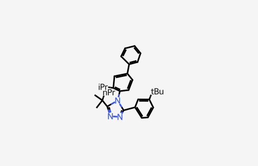 CCCC(C)(C)c1nnc(-c2cccc(C(C)(C)C)c2)n1-c1ccc(-c2ccccc2)cc1C(C)C